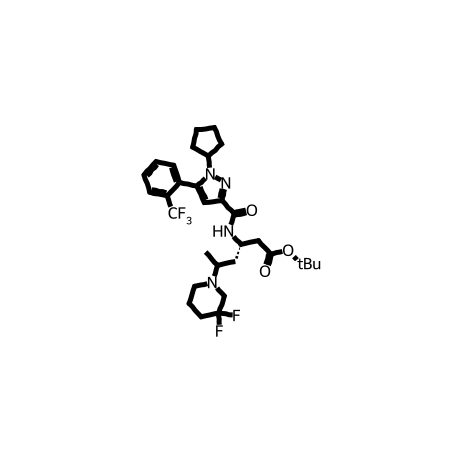 CC(C[C@@H](CC(=O)OC(C)(C)C)NC(=O)c1cc(-c2ccccc2C(F)(F)F)n(C2CCCC2)n1)N1CCCC(F)(F)C1